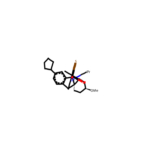 CO[C@H]1CC[C@]2(CC1)Cc1ccc(C3CCCC3)cc1C21NC(=S)N(C(C)C)C1=O